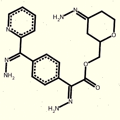 N/N=C1/CCOC(COC(=O)/C(=N/N)c2ccc(/C(=N\N)c3ccccn3)cc2)C1